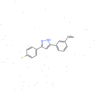 COc1cccc(-c2cc(-c3ccc(F)cc3)n[nH]2)c1